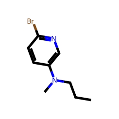 CCCN(C)c1ccc(Br)nc1